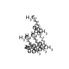 CCCCCCC(CC)C(=O)[O-].CCCCCCC(CC)C(=O)[O-].CCCCCCC(CC)C(=O)[O-].CCCCCCC(CC)C(=O)[O-].[Zr+4]